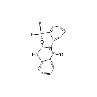 O=c1[nH]c2ccccc2c(=O)n1-c1ccccc1C(F)(F)F